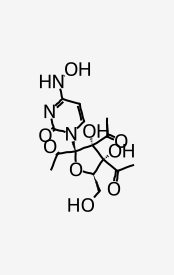 CC(=O)[C@@]1(O)[C@@](O)(C(C)=O)[C@@H](CO)O[C@@]1(C(C)=O)n1ccc(NO)nc1=O